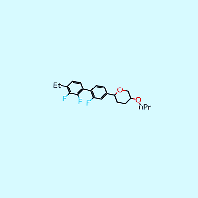 CCCOC1CCC(c2ccc(-c3ccc(CC)c(F)c3F)c(F)c2)OC1